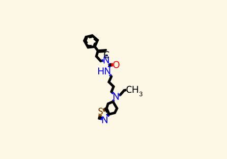 CCCN(CCCCNC(=O)N1CC=C(c2ccccc2)CC1)C1CCc2ncsc2C1